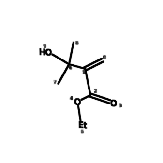 C=C(C(=O)OCC)C(C)(C)O